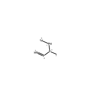 [2H]PP(C)P=N